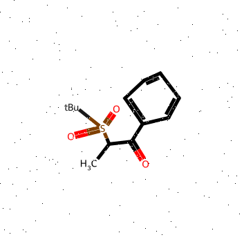 CC(C(=O)c1ccccc1)S(=O)(=O)C(C)(C)C